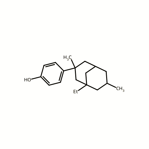 CCC12CC(C)CC(C1)CC(C)(c1ccc(O)cc1)C2